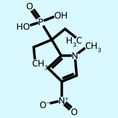 CCC(CC)(c1cc([N+](=O)[O-])cn1C)P(=O)(O)O